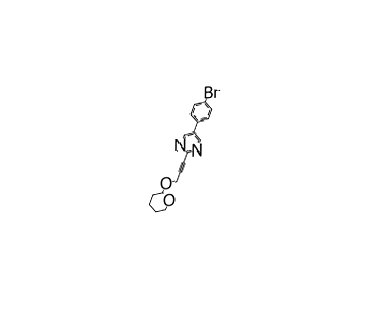 Brc1ccc(-c2cnc(C#CCOC3CCCCO3)nc2)cc1